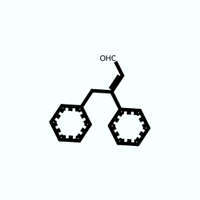 O=C/C=C(\Cc1ccccc1)c1ccccc1